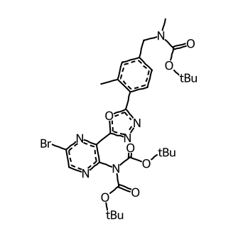 Cc1cc(CN(C)C(=O)OC(C)(C)C)ccc1-c1nnc(-c2nc(Br)cnc2N(C(=O)OC(C)(C)C)C(=O)OC(C)(C)C)o1